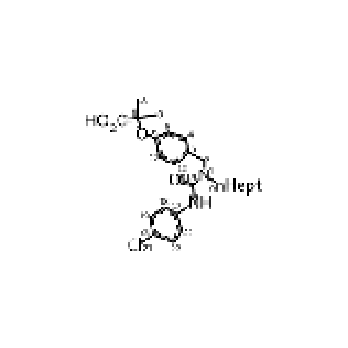 CCCCCCCN(Cc1ccc(OC(C)(C)C(=O)O)cc1)C(=O)Nc1ccc(Cl)cc1